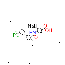 Cc1ccc(-c2cccc(C(F)(F)F)c2)cc1C(=O)Nc1c(C)cc(C(=O)O)cc1C.[NaH]